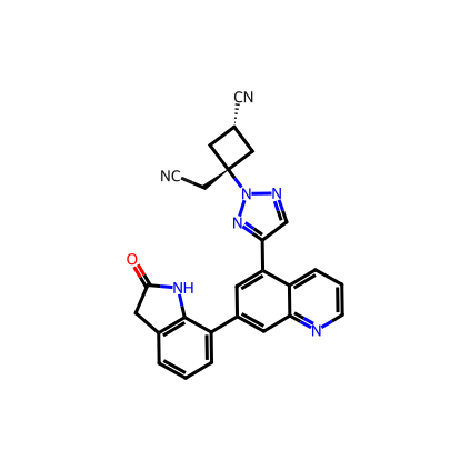 N#CC[C@]1(n2ncc(-c3cc(-c4cccc5c4NC(=O)C5)cc4ncccc34)n2)C[C@@H](C#N)C1